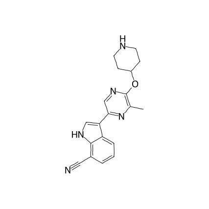 Cc1nc(-c2c[nH]c3c(C#N)cccc23)cnc1OC1CCNCC1